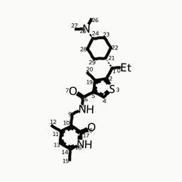 CCC(c1scc(C(=O)NCc2c(C)cc(C)[nH]c2=O)c1C)[C@H]1CC[C@@H](N(C)C)CC1